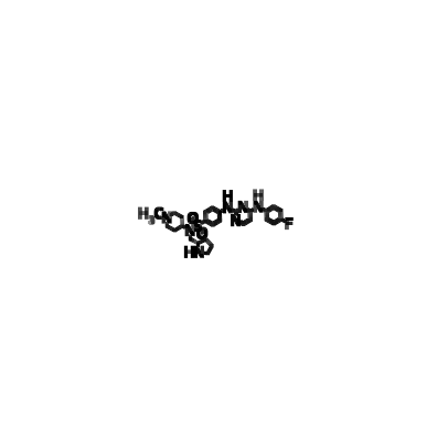 CN1CCC(N(C[C@H]2CCCN2)S(=O)(=O)c2ccc(Nc3nccc(Nc4ccc(F)cc4)n3)cc2)CC1